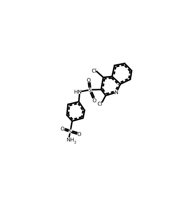 NS(=O)(=O)c1ccc(NS(=O)(=O)c2c(Cl)nc3ccccc3c2Cl)cc1